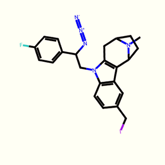 CN1C2CCC1c1c(n(CC(N=[N+]=[N-])c3ccc(F)cc3)c3ccc(CI)cc13)C2